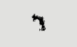 CNS(=O)(=O)c1ccc(C2=CCN3C(=O)c4cc(OC)c(OC[C@H](O)CC(=O)N5C[C@@H](CCl)c6c(C)cc(C)cc65)cc4N=C[C@@H]3C2)cc1